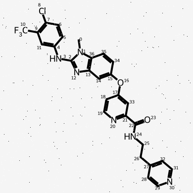 Cn1c(Nc2ccc(Cl)c(C(F)(F)F)c2)nc2cc(Oc3ccnc(C(=O)NCCc4ccncc4)c3)ccc21